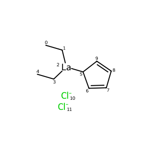 C[CH2][La]([CH2]C)[CH]1C=CC=C1.[Cl-].[Cl-]